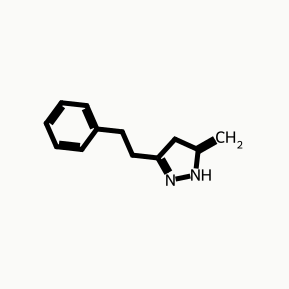 C=C1CC(CCc2ccccc2)=NN1